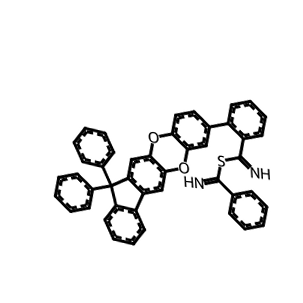 N=C(SC(=N)c1ccccc1-c1ccc2c(c1)Oc1cc3c(cc1O2)C(c1ccccc1)(c1ccccc1)c1ccccc1-3)c1ccccc1